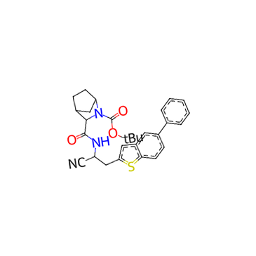 CC(C)(C)OC(=O)N1C2CCC(C2)C1C(=O)NC(C#N)Cc1cc2cc(-c3ccccc3)ccc2s1